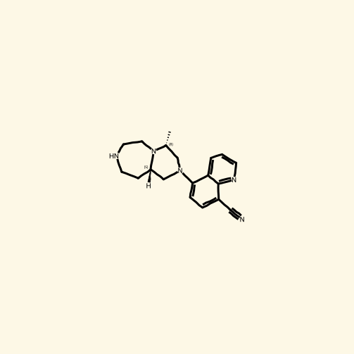 C[C@@H]1CN(c2ccc(C#N)c3ncccc23)C[C@@H]2CCNCCN21